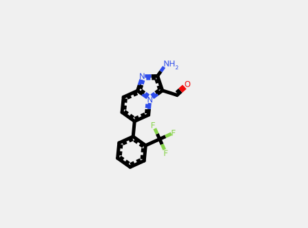 Nc1nc2ccc(-c3ccccc3C(F)(F)F)cn2c1C=O